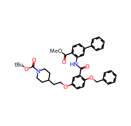 COC(=O)c1ccc(-c2ccccc2)cc1NC(=O)c1cc(OCCC2CCN(C(=O)OC(C)(C)C)CC2)ccc1OCc1ccccc1